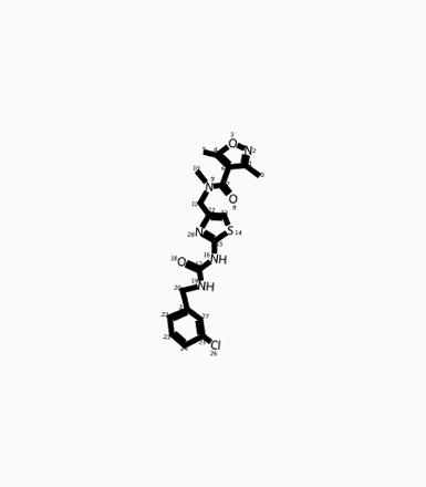 Cc1noc(C)c1C(=O)N(C)Cc1csc(NC(=O)NCc2cccc(Cl)c2)n1